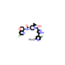 COc1cc(-c2cc(C(O)N3CC[C@H](C(=O)N[C@@H]4CCOc5cc(F)cnc54)CC34CC4)n[nH]2)c(F)cn1